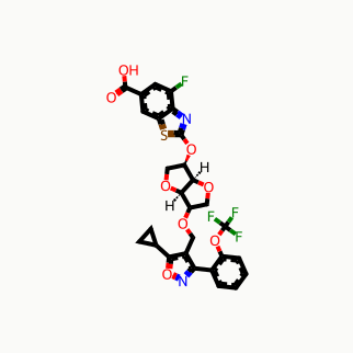 O=C(O)c1cc(F)c2nc(O[C@@H]3CO[C@@H]4C(OCc5c(-c6ccccc6OC(F)(F)F)noc5C5CC5)CO[C@@H]43)sc2c1